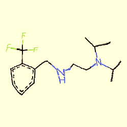 CC(C)N(CCNCc1ccccc1C(F)(F)F)C(C)C